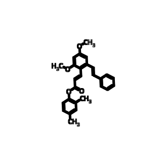 COc1cc(/C=C/c2ccccc2)c(/C=C/C(=O)Oc2ccc(C)cc2C)c(OC)c1